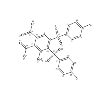 Cc1ccc(S(=O)(=O)c2cc([N+](=O)[O-])c([N+](=O)[O-])c(N)c2S(=O)(=O)c2ccc(C)cc2)cc1